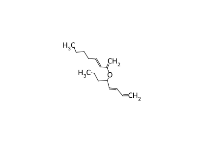 C=CC=CC(CCC)OC(=C)C=CCCCC